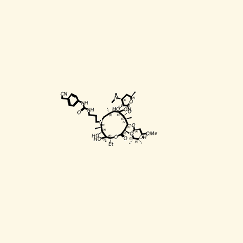 CC[C@H]1OC(=O)[C@H](C)[C@@H](O[C@@H](CCOC)O[C@@H](C)[C@@H](C)O)[C@H](C)[C@@H](O[C@@H]2O[C@H](C)C[C@H](N(C)C)[C@H]2O)[C@](C)(O)C[C@@H](C)CN(CCCNC(=O)Nc2ccc(CC#N)cc2)[C@H](C)[C@@H](O)[C@]1(C)O